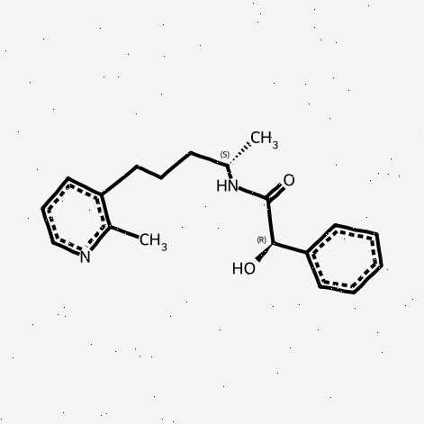 Cc1ncccc1CCC[C@H](C)NC(=O)[C@H](O)c1ccccc1